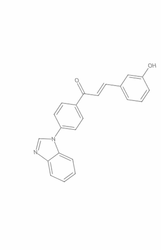 O=C(C=Cc1cccc(O)c1)c1ccc(-n2cnc3ccccc32)cc1